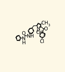 Cc1cc(Cc2ccc(NC(=O)Nc3ccccc3)cc2)n(C)c1C(=O)c1ccc(Cl)cc1